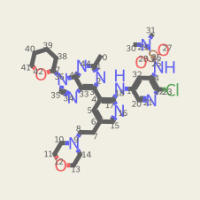 Cc1nc(-c2cc(CCN3CCOCC3)cnc2Nc2cnc(Cl)c(NS(=O)(=O)N(C)C)c2)c2ncn(C3CCCCO3)c2n1